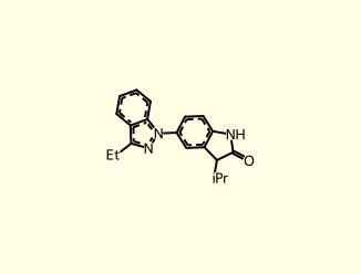 CCc1nn(-c2ccc3c(c2)C(C(C)C)C(=O)N3)c2ccccc12